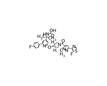 Cn1nc(-c2ncsc2F)cc1C(=O)N1C[C@@H]2[C@H](C1)[C@@H]2Oc1cc(C(C)(C)NC(=O)O)cc(-c2ccc(F)cc2)n1